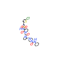 O=C(NC1CCCCC1)N1CCN(C[C@@H]2CCCN2C(=O)CN2CCC[C@H](NS(=O)(=O)/C=C/c3ccc(Cl)s3)C2=O)CC1